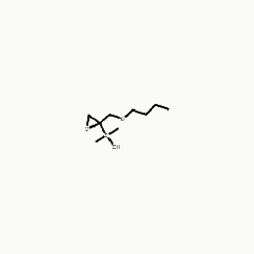 CCCCOCC1([Si](C)(C)O)CO1